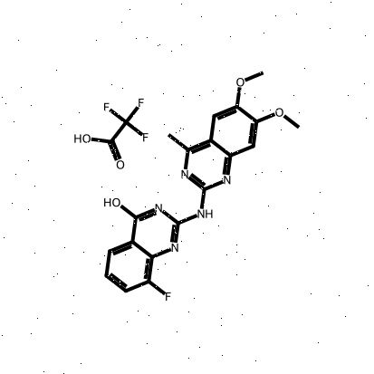 COc1cc2nc(Nc3nc(O)c4cccc(F)c4n3)nc(C)c2cc1OC.O=C(O)C(F)(F)F